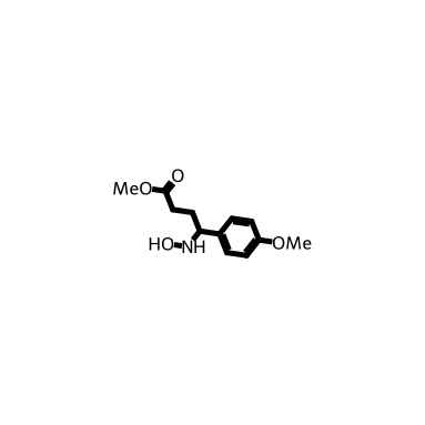 COC(=O)CCC(NO)c1ccc(OC)cc1